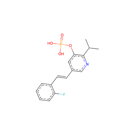 CC(C)c1ncc(C=Cc2ccccc2F)cc1OP(=O)(O)O